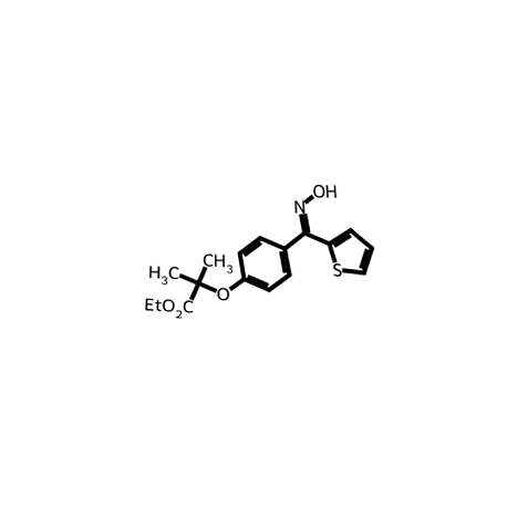 CCOC(=O)C(C)(C)Oc1ccc(C(=NO)c2cccs2)cc1